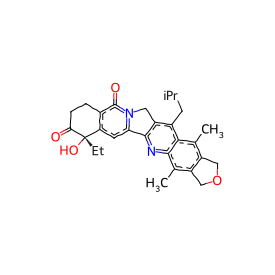 CC[C@@]1(O)C(=O)CCc2c1cc1n(c2=O)Cc2c-1nc1c(C)c3c(c(C)c1c2CC(C)C)COC3